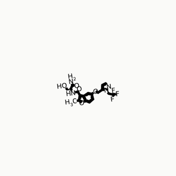 Cc1oc2ccc(OCc3ccnn3CC(F)(F)F)cc2c1C(=O)N[C@@H](CO)C(N)=O